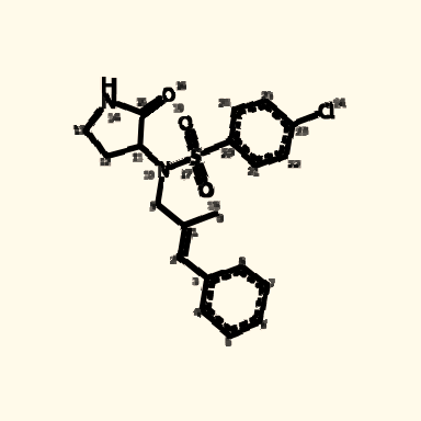 C/C(=C\c1ccccc1)CN(C1CCNC1=O)S(=O)(=O)c1ccc(Cl)cc1